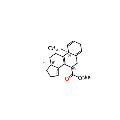 C.COC(=O)[C@@H]1CC2=CCC=C[C@]2(C)C2=C1C1=CCC[C@@]1(C)CC2